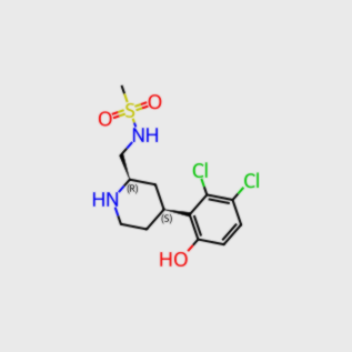 CS(=O)(=O)NC[C@H]1C[C@@H](c2c(O)ccc(Cl)c2Cl)CCN1